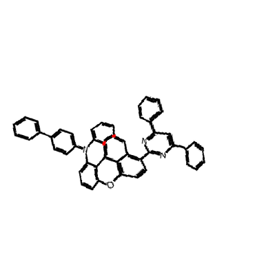 c1ccc(-c2ccc(N(c3ccccc3)c3cccc4c3-c3cccc5c(-c6nc(-c7ccccc7)cc(-c7ccccc7)n6)ccc(c35)O4)cc2)cc1